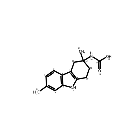 Cc1ccc2c3c([nH]c2c1)CCC(C)(NC(=O)O)C3